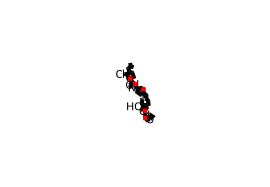 CC(C)Cc1ccc(-c2nc(-c3ccc(CN4CCC(CCN5CCOCC5)(C(=O)O)CC4)cc3)no2)cc1Cl